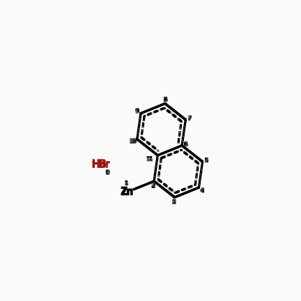 Br.[Zn][c]1cccc2ccccc12